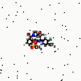 CS(=O)(=O)c1cccc(C(=O)N2CCC[C@@H]2C(=O)NC(c2ccc(C(F)(F)F)c(F)c2)C2COC2)c1